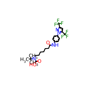 CC(C)(C)N(CCCCCCC(=O)Nc1ccc(-n2nc(C(F)(F)F)cc2C(F)(F)F)cc1)C(=O)O